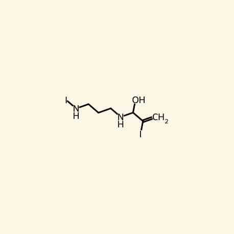 C=C(I)C(O)NCCCNI